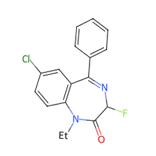 CCN1C(=O)C(F)N=C(c2ccccc2)c2cc(Cl)ccc21